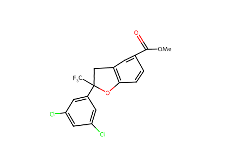 COC(=O)c1ccc2c(c1)CC(c1cc(Cl)cc(Cl)c1)(C(F)(F)F)O2